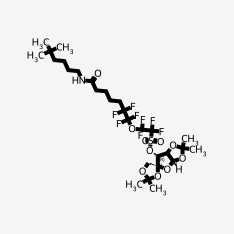 CC(C)(C)CCCCNC(=O)CCCCC(F)(F)C(F)(F)OC(F)(F)C(F)(F)S(=O)(=O)O[C@@H]1C2OC(C)(C)O[C@H]2O[C@]12COC(C)(C)O2